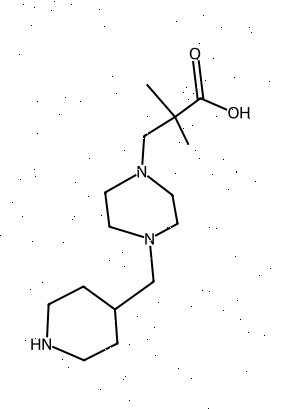 CC(C)(CN1CCN(CC2CCNCC2)CC1)C(=O)O